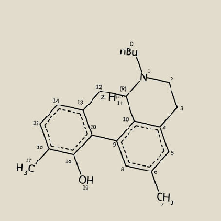 CCCCN1CCc2cc(C)cc3c2[C@H]1Cc1ccc(C)c(O)c1-3